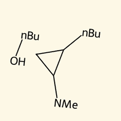 CCCCC1CC1NC.CCCCO